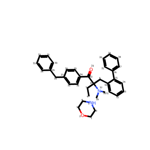 C1COCCN1.CCC(Cc1ccccc1-c1ccccc1)(C(=O)c1ccc(Cc2ccccc2)cc1)N(C)C